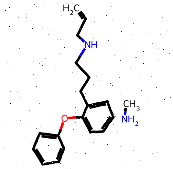 C=CCNCCCc1ccccc1Oc1ccccc1.CN